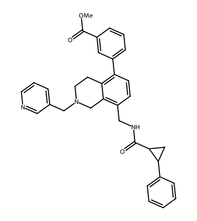 COC(=O)c1cccc(-c2ccc(CNC(=O)C3CC3c3ccccc3)c3c2CCN(Cc2cccnc2)C3)c1